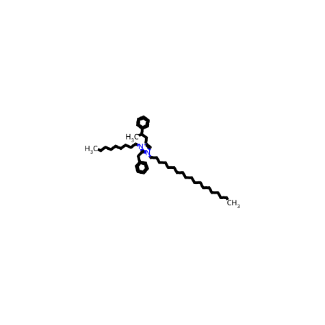 CCCCCCCCCCCCCCCCCCCn1cc(CC(C)c2ccccc2)[n+](CCCCCCCCC)c1Cc1ccccc1